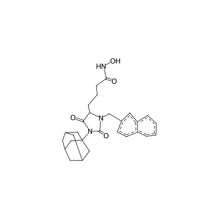 O=C(CCCC1C(=O)N(C23CC4CC(CC(C4)C2)C3)C(=O)N1Cc1ccc2ccccc2c1)NO